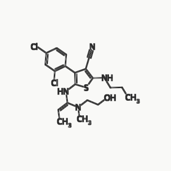 CC=C(Nc1sc(NCCC)c(C#N)c1-c1ccc(Cl)cc1Cl)N(C)CCO